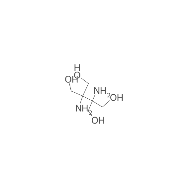 NC(CO)(CO)C(N)(CO)CO